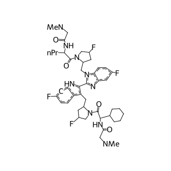 CCCC(NC(=O)CNC)C(=O)N1CC(F)CC1Cn1c(-c2[nH]c3cc(F)ccc3c2CC2CC(F)CN2C(=O)C(NC(=O)CNC)C2CCCCC2)nc2cc(F)ccc21